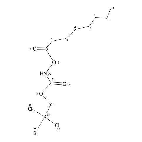 CCCCCCCC(=O)ONC(=O)OCC(Cl)(Cl)Cl